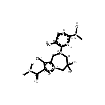 CN(C)C(=O)c1nn2c(c1Cl)CN(c1nc([S+](C)[O-])ncc1C#N)CC(F)(F)C2